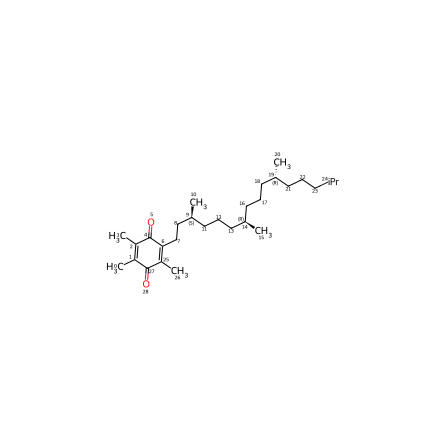 CC1=C(C)C(=O)C(CC[C@@H](C)CCC[C@H](C)CCC[C@H](C)CCCC(C)C)=C(C)C1=O